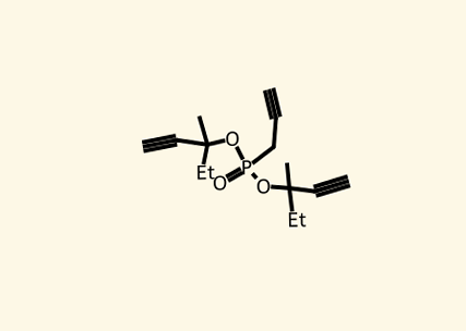 C#CCP(=O)(OC(C)(C#C)CC)OC(C)(C#C)CC